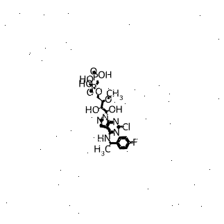 CO[C@H](COP(=O)(O)CP(=O)(O)O)[C@@H](O)[C@@H](O)n1ncc2c(N[C@@H](C)c3ccc(F)cc3)nc(Cl)nc21